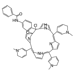 CN1C=C(C2=C3C=CC(=N3)C(C3=CN(C)CC=C3)=c3ccc([nH]3)=C(C3=CN(C)CC=C3)C3=NC(Cl)(C=C3)C(Cl)(c3ccc(NC(=O)c4ccccc4)cc3)c3ccc2[nH]3)C=CC1